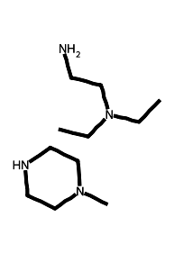 CCN(CC)CCN.CN1CCNCC1